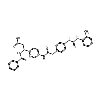 Cc1ccccc1NC(=O)Nc1ccc(CC(=O)Nc2ccc(C(CC(=O)O)NC(=O)c3ccccc3)nc2)cc1